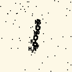 Nc1cc(F)c(C2CCC(=NOC3CCN(c4nccs4)CC3)CC2)cc1F